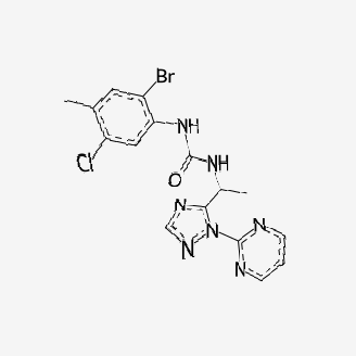 Cc1cc(Br)c(NC(=O)NC(C)c2ncnn2-c2ncccn2)cc1Cl